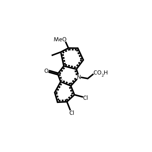 COc1ccc2c(c1C)c(=O)c1ccc(Cl)c(Cl)c1n2CC(=O)O